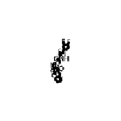 Cn1c(=O)n(Cc2ccccn2)c(=O)c2c1ncn2CC(=O)Nc1csc(-c2ccc(F)c(F)c2)n1